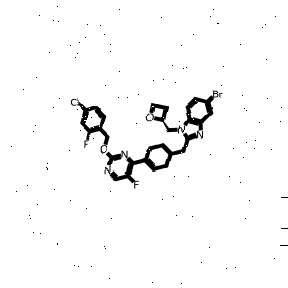 Fc1cc(Cl)ccc1COc1ncc(F)c(C2=CCC(Cc3nc4cc(Br)ccc4n3C[C@@H]3CCO3)CC2)n1